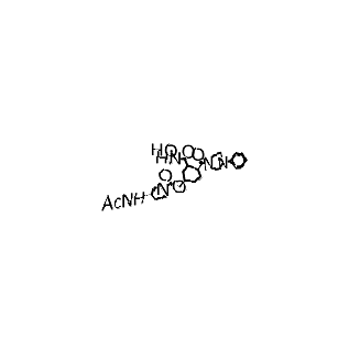 CC(=O)N[C@H]1CCN(C(=O)O[C@@H]2CC[C@H](C(=O)N3CCN(c4ccccc4)CC3)C(C(=O)NO)C2)C1